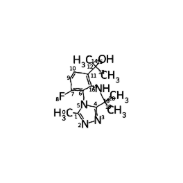 Cc1nnc2n1-c1c(F)ccc(C(C)(C)O)c1NC2(C)C